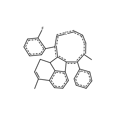 CC1=CCC2c3c1cccc3-c1c(-c3ccccc3)c(C)cccccc(-c3ccccc3F)c12